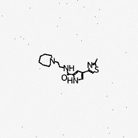 Cc1nc(-c2c[nH]c(C(=O)NCCN3CCCCCC3)c2)cs1